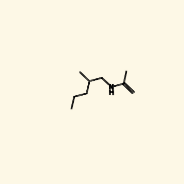 C=C(C)NCC(C)CCC